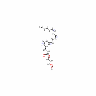 CCCCC/C=C\C/C=C\C/C=C\C/C=C\CCCC(=O)OCCCOC